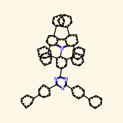 c1ccc(-c2ccc(-c3nc(-c4ccc(-c5ccccc5)cc4)nc(-c4cc(-c5ccccc5)c(-n5c6c(-c7ccccc7)ccc(-c7ccccc7)c6c6c(-c7ccccc7)ccc(-c7ccccc7)c65)c(-c5ccccc5)c4)n3)cc2)cc1